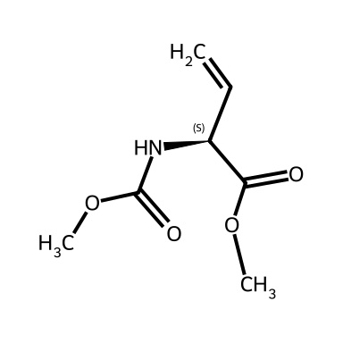 C=C[C@H](NC(=O)OC)C(=O)OC